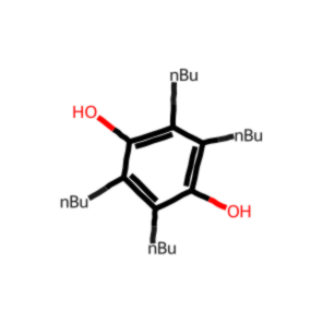 CCCCc1c(O)c(CCCC)c(CCCC)c(O)c1CCCC